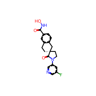 O=C(NO)c1ccc2c(c1)CC[C@@]1(CCN(c3cncc(F)c3)C1=O)C2